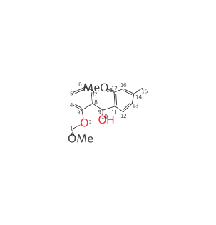 COCOc1ccccc1C(O)c1ccc(C)cc1OC